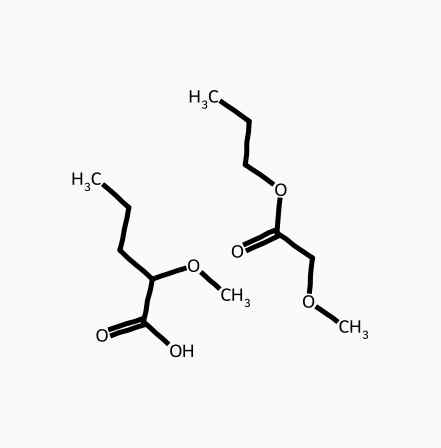 CCCC(OC)C(=O)O.CCCOC(=O)COC